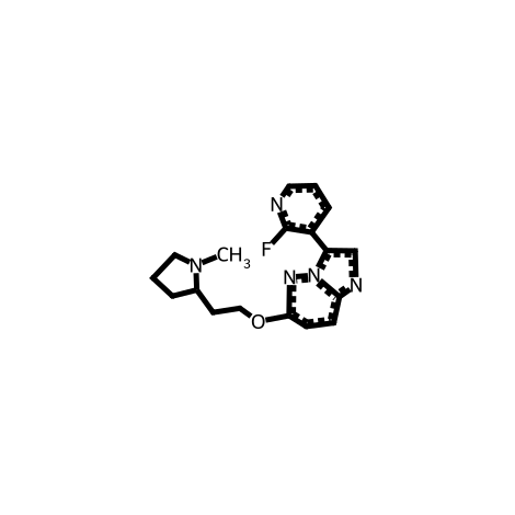 CN1CCCC1CCOc1ccc2ncc(-c3cccnc3F)n2n1